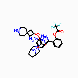 Nc1nnc(-c2ccccc2OC(=O)C(F)(F)F)cc1N1CC2CCC(C1)N2c1ccnc(OC2CC3(CCNCC3)C2)c1